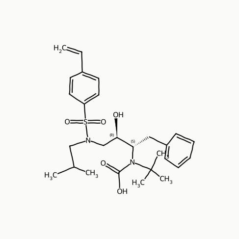 C=Cc1ccc(S(=O)(=O)N(CC(C)C)C[C@@H](O)[C@H](Cc2ccccc2)N(C(=O)O)C(C)(C)C)cc1